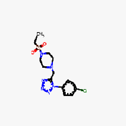 CCS(=O)(=O)N1CCN(Cc2nnnn2-c2ccc(Cl)cc2)CC1